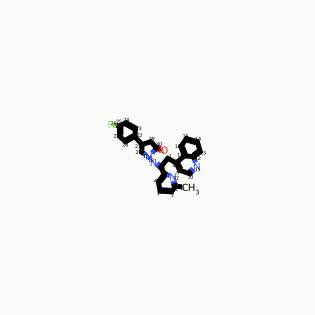 Cc1cccc(/C(Cc2ccnc3ccccc23)=N/N2CC(c3ccc(F)cc3)CC2=O)n1